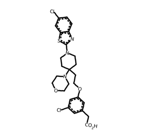 O=C(O)Cc1cc(Cl)cc(OCCC2(N3CCOCC3)CCN(c3nc4ccc(Cl)cc4s3)CC2)c1